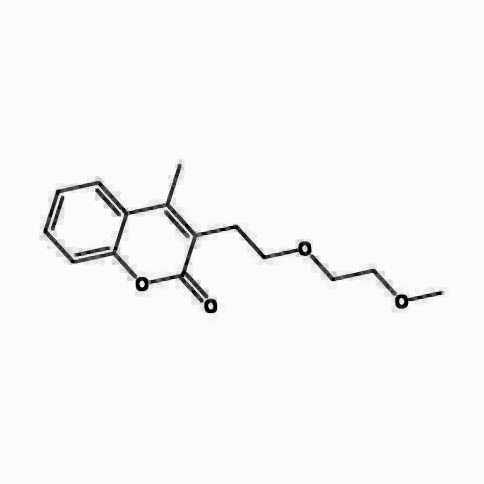 COCCOCCc1c(C)c2ccccc2oc1=O